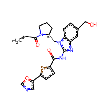 C=CC(=O)N1CCC[C@@H]1Cn1c(NC(=O)c2ccc(-c3cnco3)s2)nc2cc(CO)ccc21